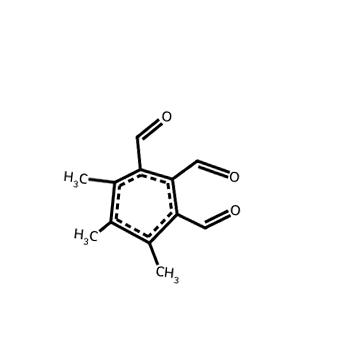 Cc1c(C)c(C=O)c(C=O)c(C=O)c1C